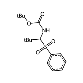 CC(C)(C)OC(=O)NC(C(C)(C)C)S(=O)(=O)c1ccccc1